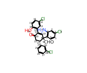 Nc1cc(Cl)ccc1[C@@]1(C=O)C=C(c2cc(Cl)ccc2O)C(=O)C[C@H]1c1cccc(Cl)c1